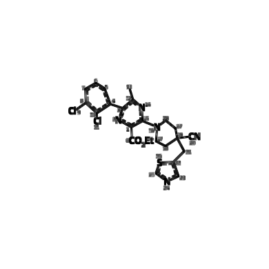 CCOC(=O)c1nc(-c2cccc(Cl)c2Cl)c(C)nc1N1CCC(C#N)(Cc2cncs2)CC1